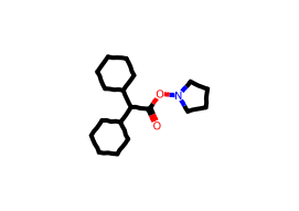 O=C(ON1CCCC1)C(C1CCCCC1)C1CCCCC1